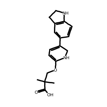 CC(C)(COC1=CC=C(c2ccc3c(c2)CCN3)CN1)C(=O)O